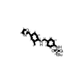 Cc1cc(-c2ncco2)ccc1NCc1ccc(NS(=O)(=O)C(C)(C)C)cc1